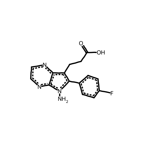 Nn1c(-c2ccc(F)cc2)c(CCC(=O)O)c2nccnc21